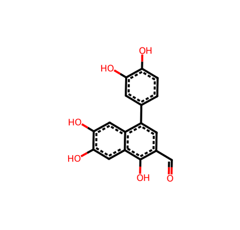 O=Cc1cc(-c2ccc(O)c(O)c2)c2cc(O)c(O)cc2c1O